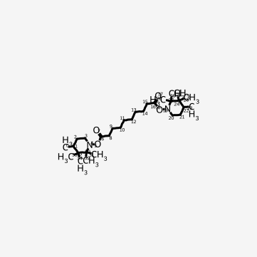 CC1CCN(OC(=O)CCCCCCCCC(=O)ON2CCC(C)C(C)(C)C2(C)C)C(C)(C)C1(C)C